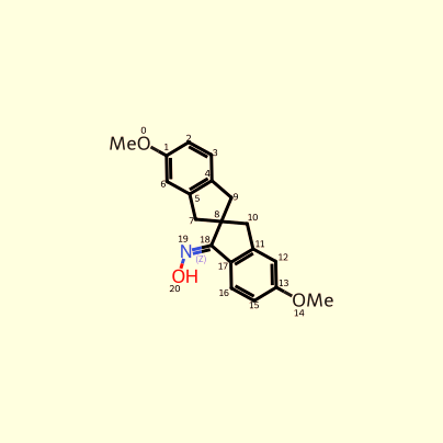 COc1ccc2c(c1)CC1(C2)Cc2cc(OC)ccc2/C1=N\O